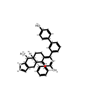 Cc1nc(-c2cccc(-c3ccc(O)cc3)c2)c2c(n1)[C@@]1(c3ccccc3)Cc3cnoc3[C@@H](C)[C@@H]1CC2